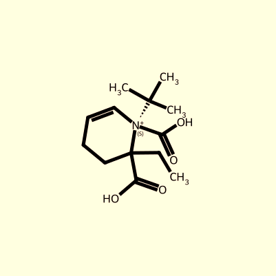 CCC1(C(=O)O)CCC=C[N@+]1(C(=O)O)C(C)(C)C